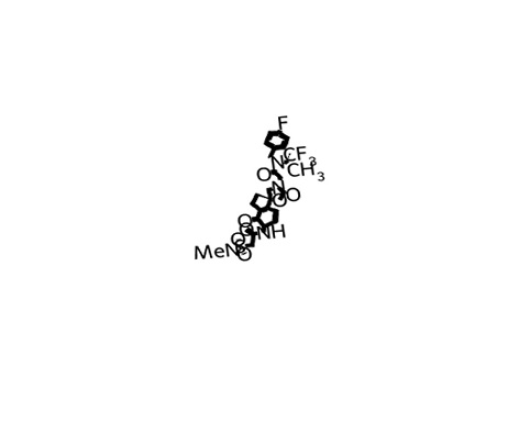 CNS(=O)(=O)CC(=O)NC1C=CC2=C(CC[C@]23CN(CC(=O)N(Cc2ccc(F)cc2)[C@@H](C)C(F)(F)F)C(=O)O3)C1=O